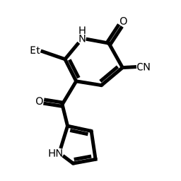 CCc1[nH]c(=O)c(C#N)cc1C(=O)c1ccc[nH]1